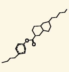 CCCCCC1CCC2CC(C(=O)Oc3ccc(CCCC)cc3)CCC2C1